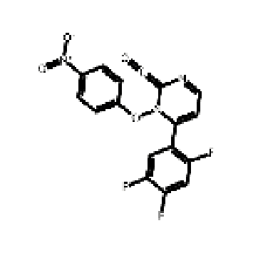 O=C=C1N=CC=C(c2cc(F)c(F)cc2F)N1Oc1ccc([N+](=O)[O-])cc1